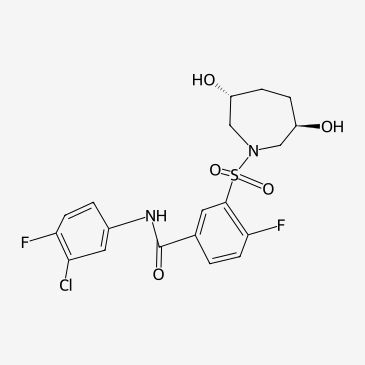 O=C(Nc1ccc(F)c(Cl)c1)c1ccc(F)c(S(=O)(=O)N2C[C@H](O)CC[C@@H](O)C2)c1